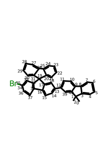 CC1(C)c2ccccc2-c2ccc(-c3ccc4c(c3)C3(c5ccccc5-c5ccccc53)c3cc(Br)ccc3-4)cc21